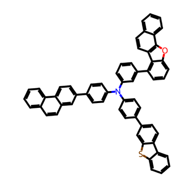 c1cc(-c2cccc3oc4c5ccccc5ccc4c23)cc(N(c2ccc(-c3ccc4c(ccc5ccccc54)c3)cc2)c2ccc(-c3ccc4c(c3)sc3ccccc34)cc2)c1